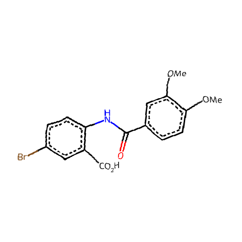 COc1ccc(C(=O)Nc2ccc(Br)cc2C(=O)O)cc1OC